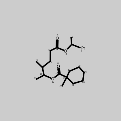 CC(C)C(C)OC(=O)CCC(C)C(C)OC(=O)C1(C)CCCCC1